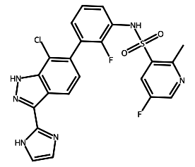 Cc1ncc(F)cc1S(=O)(=O)Nc1cccc(-c2ccc3c(-c4ncc[nH]4)n[nH]c3c2Cl)c1F